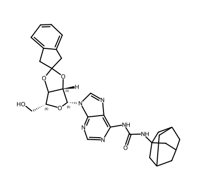 O=C(Nc1ncnc2c1ncn2[C@@H]1O[C@H](CO)C2OC3(Cc4ccccc4C3)O[C@@H]21)NC12CC3CC(CC(C3)C1)C2